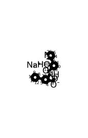 O=C([O-])c1ccc(-c2ccccc2)cc1NC(=O)c1cccc(-c2cccnc2)c1O.[Na+]